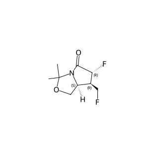 CC1(C)OC[C@@H]2[C@H](CF)[C@@H](F)C(=O)N21